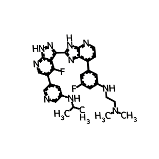 CC(C)Nc1cncc(-c2cnc3[nH]nc(-c4nc5c(-c6cc(F)cc(NCCN(C)C)c6)ccnc5[nH]4)c3c2F)c1